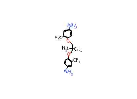 CC(C)(COc1ccc(N)cc1C(F)(F)F)COc1ccc(N)cc1C(F)(F)F